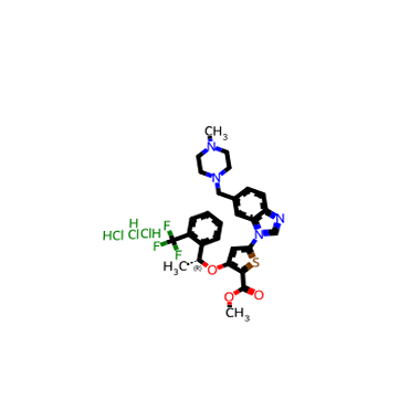 COC(=O)c1sc(-n2cnc3ccc(CN4CCN(C)CC4)cc32)cc1O[C@H](C)c1ccccc1C(F)(F)F.Cl.Cl.Cl